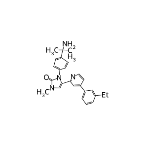 CCc1cccc(-c2ccnc(-c3cn(C)c(=O)n3-c3ccc(C(C)(C)N)cc3)c2)c1